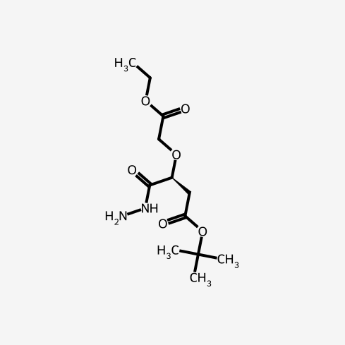 CCOC(=O)CO[C@@H](CC(=O)OC(C)(C)C)C(=O)NN